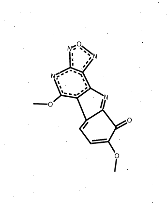 COC1=CC=C2C(=Nc3c2c(OC)nc2nonc32)C1=O